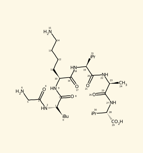 CC[C@H](C)[C@H](NC(=O)CN)C(=O)N[C@@H](CCCCN)C(=O)N[C@H](C(=O)N[C@@H](C)C(=O)N[C@H](C(=O)O)C(C)C)C(C)C